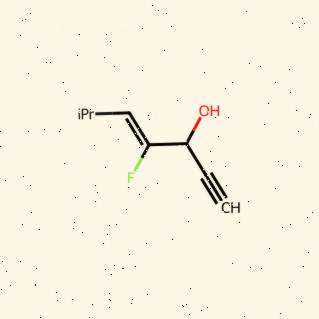 C#CC(O)C(F)=CC(C)C